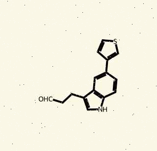 O=CCCc1c[nH]c2ccc(-c3ccsc3)cc12